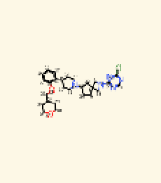 Clc1ncnc(N2CC3(CCC(N4CCC(c5ccccc5OCC5CCOCC5)CC4)C3)C2)n1